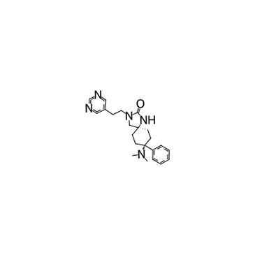 CN(C)[C@]1(c2ccccc2)CC[C@]2(CC1)CN(CCc1cncnc1)C(=O)N2